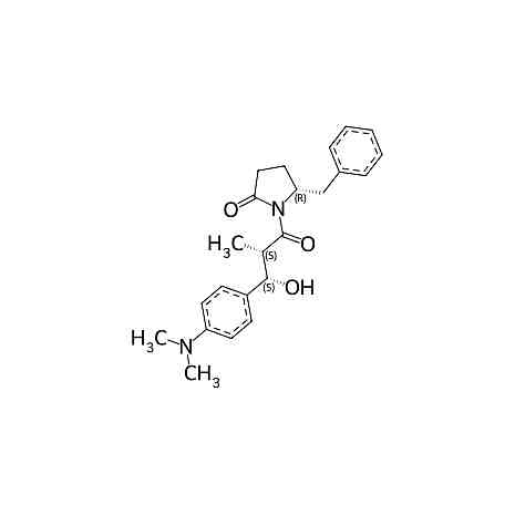 C[C@H](C(=O)N1C(=O)CC[C@@H]1Cc1ccccc1)[C@H](O)c1ccc(N(C)C)cc1